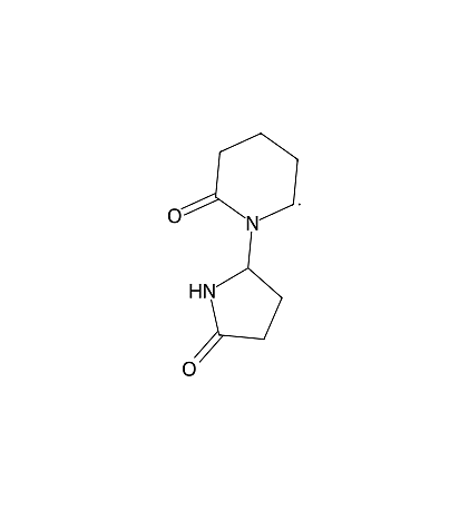 O=C1CCC(N2[CH]CCCC2=O)N1